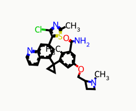 Cc1nc(Cl)c(-c2cc(C3(c4cc(OCC5CCN5C)cc(C(N)=O)c4C)CC3)c3cccnc3c2)s1